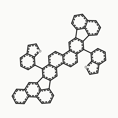 c1cc(-c2c3c(cc4c2ccc2c5cc6c(c(-c7cccc8ccoc78)c5ccc42)-c2cc4ccccc4c4cccc-6c24)-c2cccc4cccc-3c24)c2occc2c1